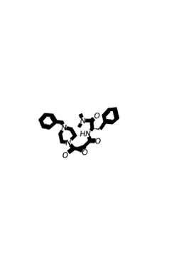 CN(C)C(=O)[C@H](Cc1ccccc1)NC(=O)C1OC1C(=O)N1CCN(Cc2ccccc2)CC1